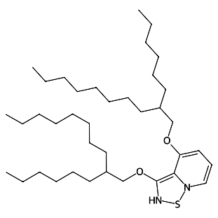 CCCCCCCCC(CCCCCC)COC1=CC=CN2SNC(OCC(CCCCCC)CCCCCCCC)=C12